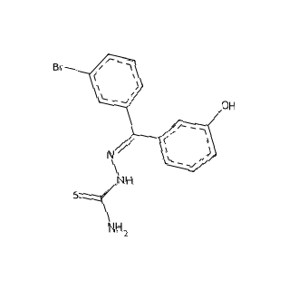 NC(=S)N/N=C(\c1cccc(O)c1)c1cccc(Br)c1